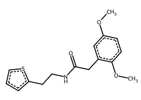 COc1ccc(OC)c(CC(=O)NCCc2cccs2)c1